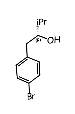 CC(C)[C@H](O)Cc1ccc(Br)cc1